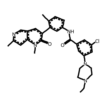 CCN1CCN(c2cc(Cl)cc(C(=O)Nc3ccc(C)c(-c4cc5cnc(C)cc5n(C)c4=O)c3)c2)CC1